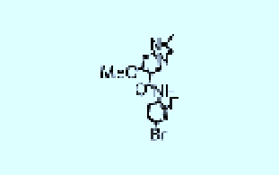 COc1cc2nc(C)cn2cc1C(=O)Nc1ccc(Br)cc1F